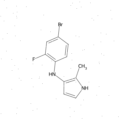 Cc1[nH]ccc1Nc1ccc(Br)cc1F